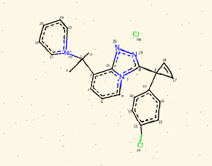 CC(C)(c1cccn2c(C3(c4ccc(Cl)cc4)C=C3)nnc12)[n+]1ccccc1.[Cl-]